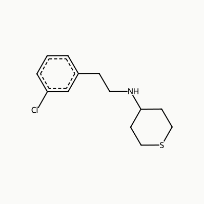 Clc1cccc(CCNC2CCSCC2)c1